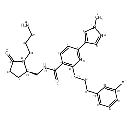 Cn1cc(-c2ccc(C(=O)NC[C@H]3CCC(=O)N3CCCN)c(NCCc3cccc(F)c3)n2)cn1